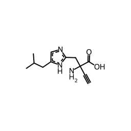 C#CC(N)(Cc1ncc(CC(C)C)[nH]1)C(=O)O